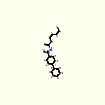 C=C(C/C=C\C=C/C)/N=C(\C)c1ccc(-c2ccccc2)cc1